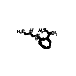 C=C([SiH3])c1ccccc1NCNCC